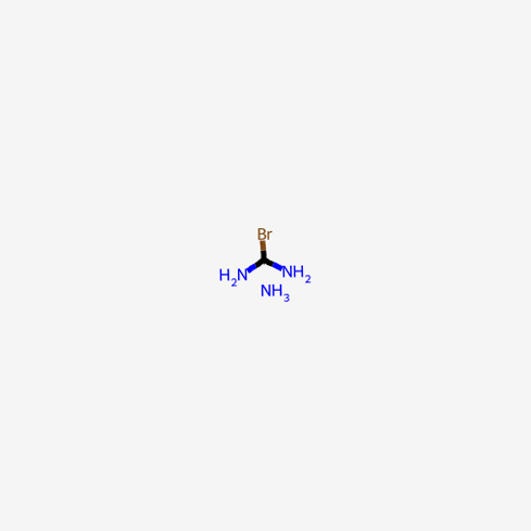 N.N[C](N)Br